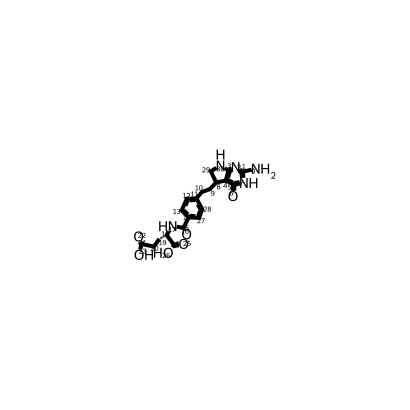 Nc1nc2c(c(=O)[nH]1)C(CCc1ccc(C(=O)N[C@@H](CCC(=O)O)C(=O)O)cc1)CN2